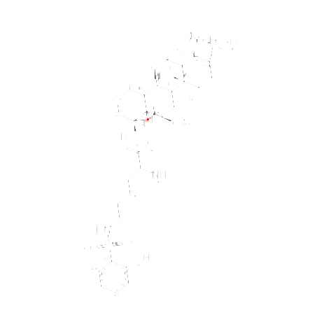 CC(=O)O[C@@H]1C[C@@]23COC[C@](C)([C@@H]2CC[C@H]2C3=CC[C@@]3(C)[C@H](C(=O)O)[C@@](C)([C@H](C)C(C)C)CC[C@]23C)[C@H]1OC(=O)C(N)CCCCNS(=O)(=O)c1ccccc1C